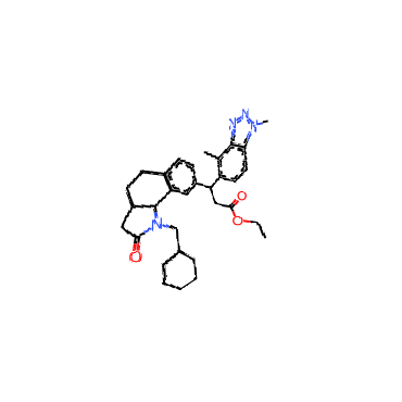 CCOC(=O)CC(c1ccc2c(c1)C1C(CC2)CC(=O)N1CC1CCCCC1)c1ccc2c(nnn2C)c1C